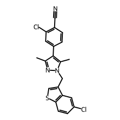 Cc1nn(Cc2csc3ccc(Cl)cc23)c(C)c1-c1ccc(C#N)c(Cl)c1